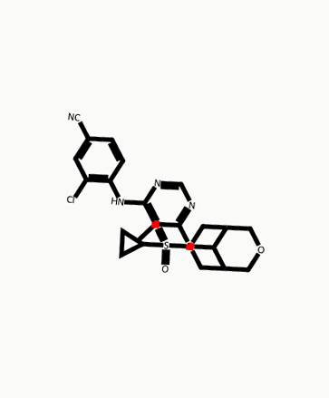 Cc1c(Nc2ccc(C#N)cc2Cl)ncnc1OC1C2COCC1CN(S(=O)(=O)C1CC1)C2